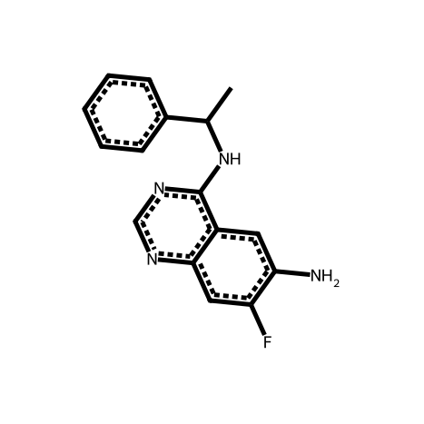 CC(Nc1ncnc2cc(F)c(N)cc12)c1ccccc1